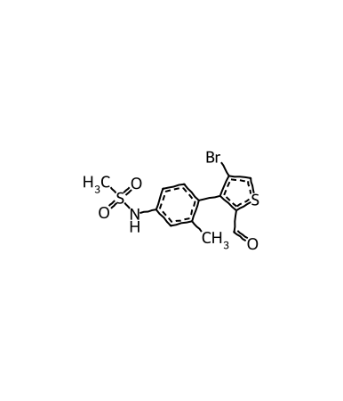 Cc1cc(NS(C)(=O)=O)ccc1-c1c(Br)csc1C=O